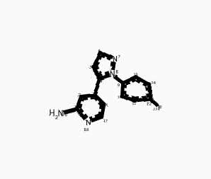 Nc1cc(-c2ccnn2-c2ccc(F)cc2)ccn1